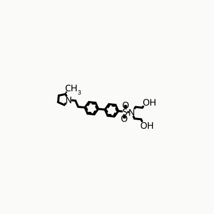 C[C@@H]1CCCN1CCc1ccc(-c2ccc(S(=O)(=O)N(CCO)CCO)cc2)cc1